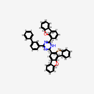 c1ccc(-c2cccc(C3=NC(c4cc5c6ccccc6oc5c5c4sc4ccccc45)NC(c4cccc5c4oc4ccccc45)=N3)c2)cc1